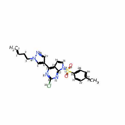 C=CCCn1cc(-c2nc(Cl)nc3c2ccn3S(=O)(=O)c2ccc(C)cc2)cn1